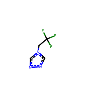 FC(F)(F)Cn1[c]nn[c]1